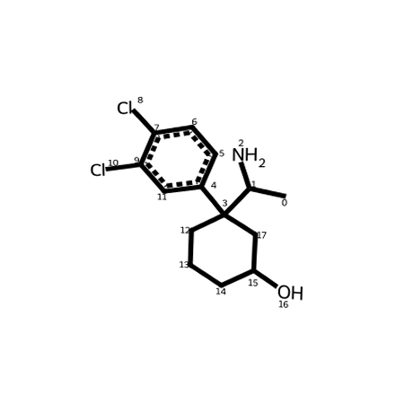 CC(N)C1(c2ccc(Cl)c(Cl)c2)CCCC(O)C1